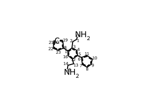 NCCc1cc(-c2ccccc2)c(CCN)cc1-c1ccccc1